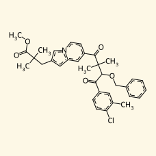 COC(=O)C(C)(C)Cc1cc2cc(C(=O)C(C)(C)C(OCc3ccccc3)C(=O)c3ccc(Cl)c(C)c3)ccn2c1